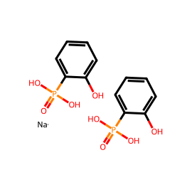 O=P(O)(O)c1ccccc1O.O=P(O)(O)c1ccccc1O.[Na]